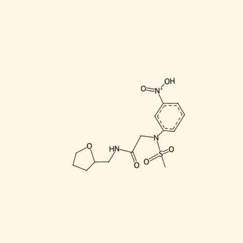 CS(=O)(=O)N(CC(=O)NCC1CCCO1)c1cccc([N+](=O)O)c1